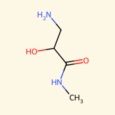 CNC(=O)C(O)CN